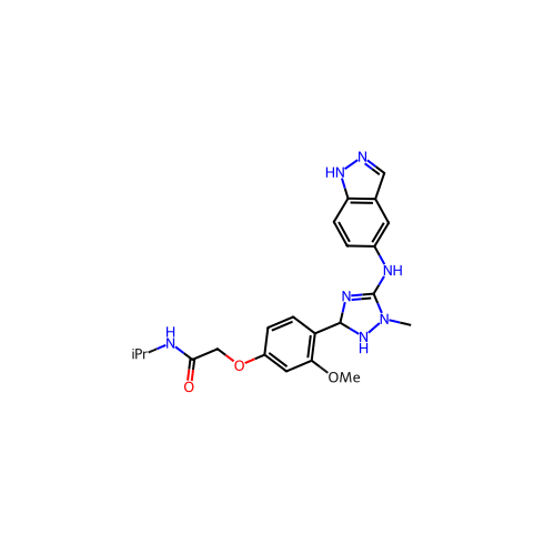 COc1cc(OCC(=O)NC(C)C)ccc1C1N=C(Nc2ccc3[nH]ncc3c2)N(C)N1